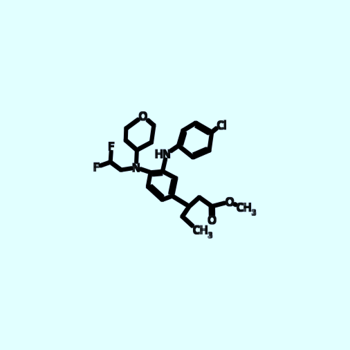 CCC(CC(=O)OC)c1ccc(N(CC(F)F)C2CCOCC2)c(Nc2ccc(Cl)cc2)c1